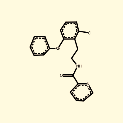 O=C(NCCc1c(Cl)cccc1[Se]c1ccccc1)c1ccccn1